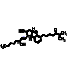 CCCCC[C@H](O)/C=C/[C@@H]1[C@H]2c3cccc(CCCCC(=O)N(C)C)c3O[C@H]2C[C@H]1O